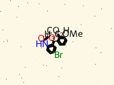 COc1cccc([C@@H]2O[C@@H](CC(=O)O)C(=O)Nc3ccc(Br)cc32)c1C